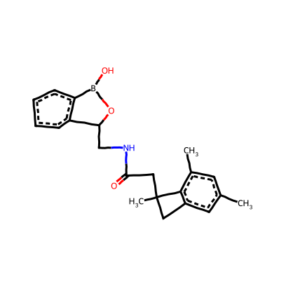 Cc1cc(C)c2c(c1)CC2(C)CC(=O)NCC1OB(O)c2ccccc21